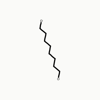 [O]CCCCCCCC[O]